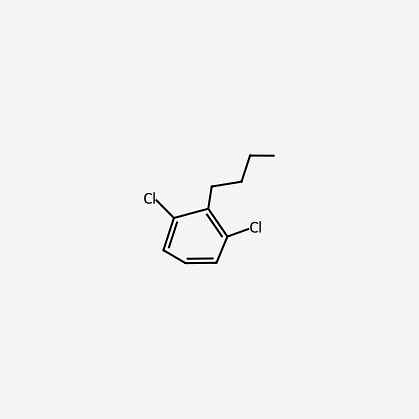 CCCCc1c(Cl)cccc1Cl